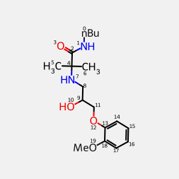 CCCCNC(=O)C(C)(C)NCC(O)COc1ccccc1OC